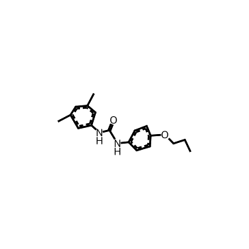 CCCOc1ccc(NC(=O)Nc2cc(C)cc(C)c2)cc1